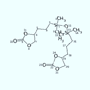 C[Si](C)(CCCC1COC(=O)O1)O[Si](C)(C)CCCC1COC(=O)O1